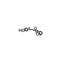 COc1c(C)cccc1CN(C)C(=O)CCCSc1ccc(O)cc1